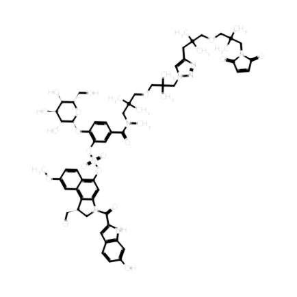 COc1ccc2c(OS(=O)(=O)Oc3cc(C(=O)N(C)CC(C)(C)COCC(C)(C)Cn4cc(CC(C)(C)COCC(C)(C)CN5C(=O)C=CC5=O)nn4)ccc3O[C@@H]3O[C@H](CO)[C@H](O)[C@H](O)[C@H]3O)cc3c(c2c1)[C@H](CCl)CN3C(=O)c1cc2ccc(O)cc2[nH]1